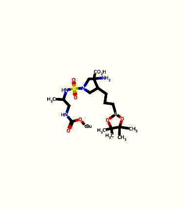 CC(CNC(=O)OC(C)(C)C)NS(=O)(=O)N1CC(CCCB2OC(C)(C)C(C)(C)O2)C(N)(C(=O)O)C1